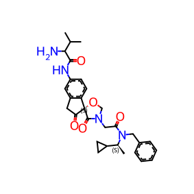 CC(C)C(N)C(=O)Nc1ccc2c(c1)CC(=O)[C@@]21OCN(CC(=O)N(Cc2ccccc2)[C@@H](C)C2CC2)C1=O